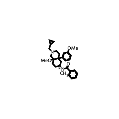 COc1cccc(C23CCN(CC4CC4)CC2(OC)CC[C@H](N(C)C(=O)c2ccccc2)C3)c1